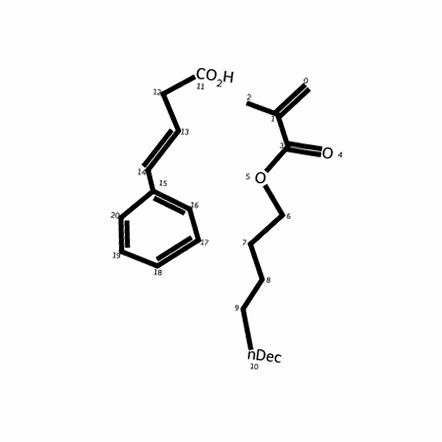 C=C(C)C(=O)OCCCCCCCCCCCCCC.O=C(O)CC=Cc1ccccc1